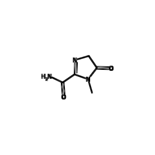 CN1C(=O)CN=C1C(N)=O